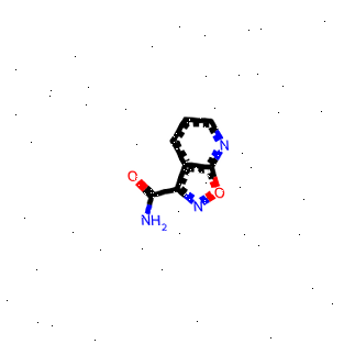 NC(=O)c1noc2ncccc12